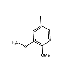 [CH2]c1ccc(OC)c(OC(F)(F)F)c1